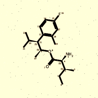 CC[C@H](C)[C@H](N)C(=O)O[C@@H](C)[C@H](c1ccc(F)cc1C)C(C)C